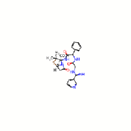 CC1(C)S[C@@H]2CC(=O)N2[C@@]1(NC(=O)C(NC(=O)CNC(=N)c1cccnc1)c1ccccc1)C(=O)O